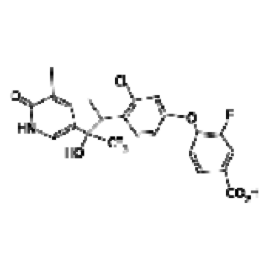 Cc1cc(C(O)(C(C)c2ccc(Oc3ccc(C(=O)O)cc3F)cc2Cl)C(F)(F)F)c[nH]c1=O